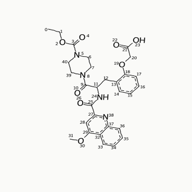 CCOC(=O)N1CCN(C(=O)C(Cc2ccccc2OCC(=O)O)NC(=O)c2cc(OC)c3ccccc3n2)CC1